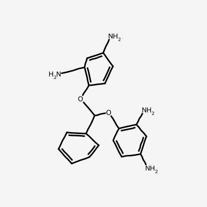 Nc1ccc(OC(Oc2ccc(N)cc2N)c2ccccc2)c(N)c1